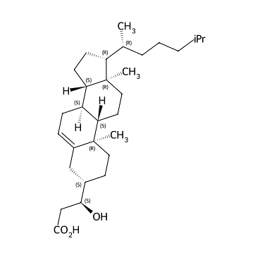 CC(C)CCC[C@@H](C)[C@H]1CC[C@H]2[C@@H]3CC=C4C[C@@H]([C@@H](O)CC(=O)O)CC[C@]4(C)[C@H]3CC[C@]12C